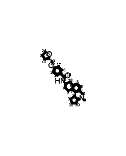 CN(Cc1ccc2c(c1)CC[C@H](NC(=O)c1ccc(OC[C@@H]3CCCO3)cc1)C2)C1CCCC1